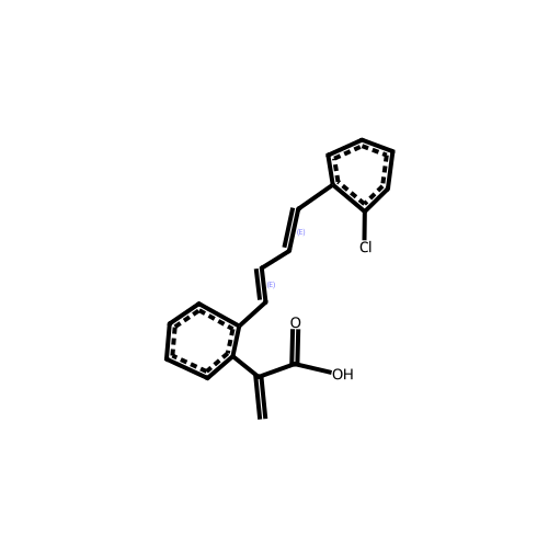 C=C(C(=O)O)c1ccccc1/C=C/C=C/c1ccccc1Cl